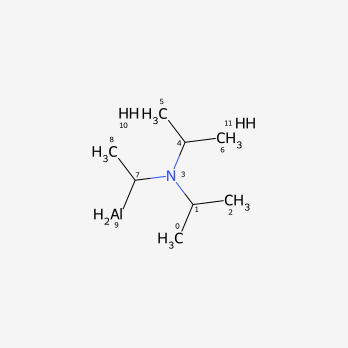 CC(C)N(C(C)C)[CH](C)[AlH2].[HH].[HH]